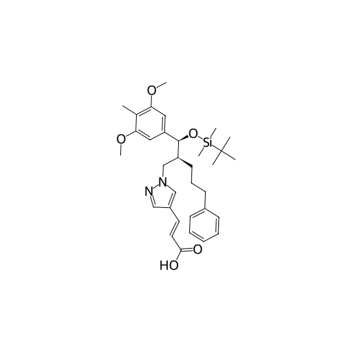 COc1cc([C@@H](O[Si](C)(C)C(C)(C)C)[C@@H](CCCc2ccccc2)Cn2cc(C=CC(=O)O)cn2)cc(OC)c1C